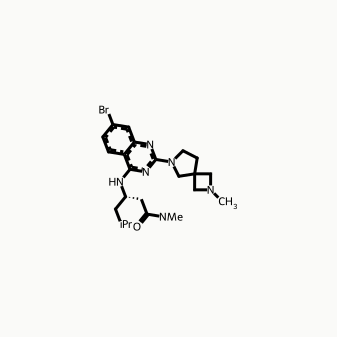 CNC(=O)C[C@H](CC(C)C)Nc1nc(N2CCC3(CN(C)C3)C2)nc2cc(Br)ccc12